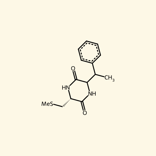 CSC[C@@H]1NC(=O)C(C(C)c2ccccc2)NC1=O